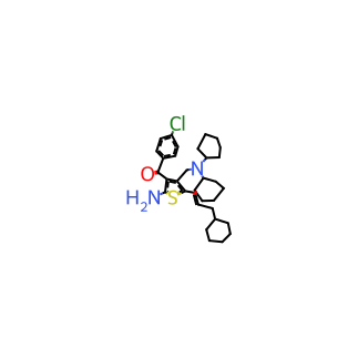 Nc1sc(C=CCC2CCCCC2)c(CN(C2CCCCC2)C2CCCCC2)c1C(=O)c1ccc(Cl)cc1